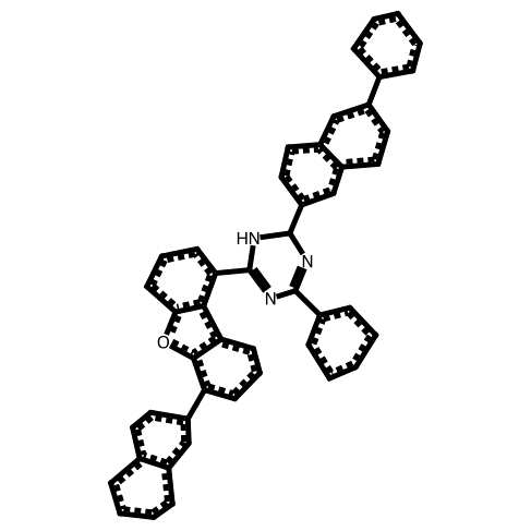 c1ccc(C2=NC(c3ccc4cc(-c5ccccc5)ccc4c3)NC(c3cccc4oc5c(-c6ccc7ccccc7c6)cccc5c34)=N2)cc1